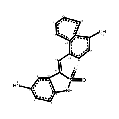 O=S1(=O)Nc2ccc(O)cc2C1=Cc1ccc(O)c2ccccc12